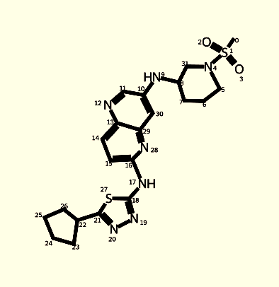 CS(=O)(=O)N1CCCC(Nc2cnc3ccc(Nc4nnc(C5CCCC5)s4)nc3c2)C1